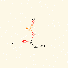 C=CC(O)O[PH2]=O